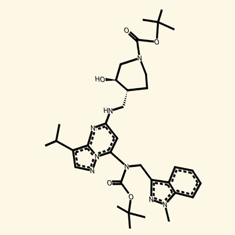 CC(C)c1cnn2c(N(Cc3nn(C)c4ccccc34)C(=O)OC(C)(C)C)cc(NC[C@H]3CCN(C(=O)OC(C)(C)C)C[C@@H]3O)nc12